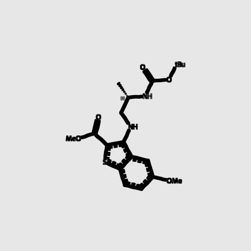 COC(=O)c1sc2ccc(OC)cc2c1NC[C@H](C)NC(=O)OC(C)(C)C